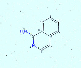 Nc1n[c]cc2ccccc12